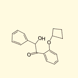 O=C(c1ccccc1OC1CCC1)C(O)c1ccccc1